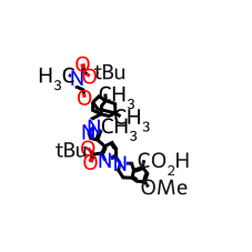 COc1cc2c(c(C(=O)O)c1)CN(c1ccc(-c3cnn(CC45CC6(C)CC(C)(C4)CC(OCCN(C)C(=O)OC(C)(C)C)(C6)C5)c3C)c(C(=O)OC(C)(C)C)n1)CC2